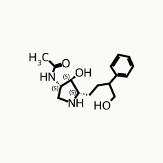 CC(=O)N[C@H]1CN[C@@H](CCC(CO)c2ccccc2)[C@@H]1O